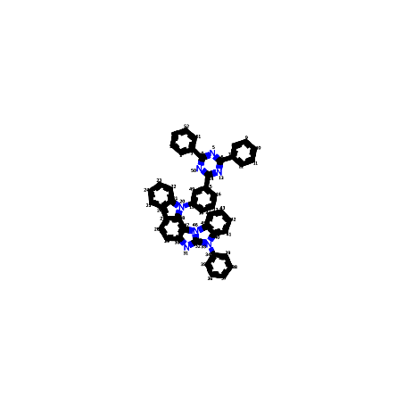 c1ccc(-c2nc(-c3ccccc3)nc(-c3cccc(-n4c5ccccc5c5ccc6nc7n(-c8ccccc8)c8ccccc8n7c6c54)c3)n2)cc1